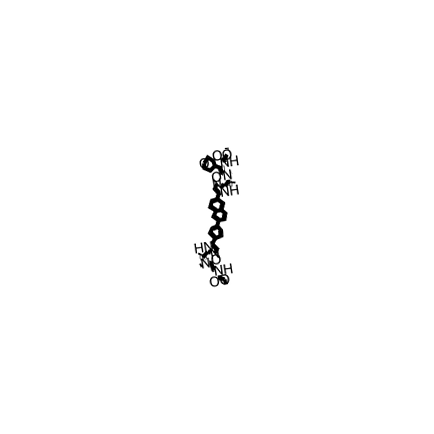 COC(=O)NCC(=O)N(C)[C@@H](C)c1ncc(-c2ccc(-c3ccc4cc(-c5cnc([C@H](C)N(C)C(=O)[C@@H](NC(=O)OC)C6CCOCC6)[nH]5)ccc4c3)cc2)[nH]1